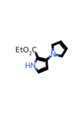 CCOC(=O)c1[nH]ccc1N1CC=CC1